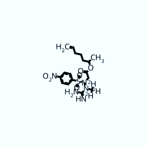 [2H]C([2H])([2H])N(C(=N)N)N(CC(=O)OC(C)CCCC=C)S(=O)(=O)c1ccc([N+](=O)[O-])cc1